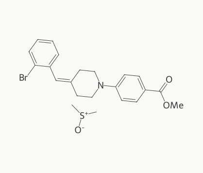 COC(=O)c1ccc(N2CCC(=Cc3ccccc3Br)CC2)cc1.C[S+](C)[O-]